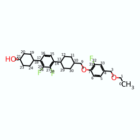 CCOCc1ccc(OCC2CCC(c3ccc(C4CCC(O)CC4)c(F)c3F)CC2)c(F)c1